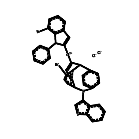 Brc1cccc2c1C(c1ccccc1)[C]([Zr+2][C]1=Cc3c4ccc(Br)c3C1c1ccc(cc1)N4c1csc3ccccc13)=C2.[Cl-].[Cl-]